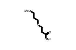 COCCCSCCC(=O)OC